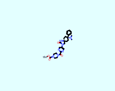 CN(C)[C@]1(c2ccccc2)CC[C@@]2(CC1)CN(c1cnc(C(=O)N3CCN(C(=O)OC(C)(C)C)CC3)nc1)C(=O)N2